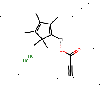 C#CC(=O)[O][Ti][C]1=C(C)C(C)=C(C)C1(C)C.Cl.Cl